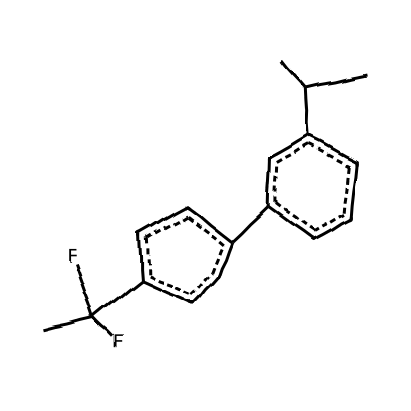 CC(C)c1cccc(-c2ccc(C(C)(F)F)cc2)c1